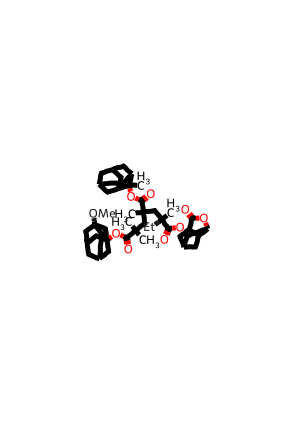 CCC(C)(CC(C)(CC(C)(C)C(=O)OC12CC3CC(CC(OC)(C3)C1)C2)C(=O)OC1(C)C2CC3CC(C2)CC1C3)C(=O)OC1C2CC3C(=O)OC1C3C2